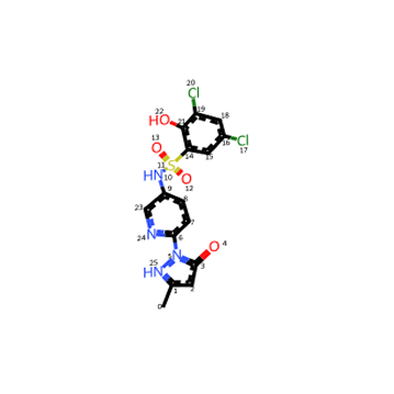 Cc1cc(=O)n(-c2ccc(NS(=O)(=O)c3cc(Cl)cc(Cl)c3O)cn2)[nH]1